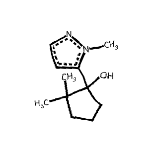 Cn1nccc1C1(O)CCCC1(C)C